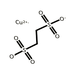 O=S(=O)([O-])CCS(=O)(=O)[O-].[Cu+2]